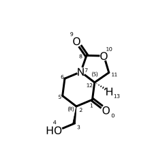 O=C1[C@@H](CO)CCN2C(=O)OC[C@@H]12